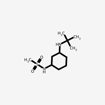 CC(C)(C)NC1CCCC(NS(C)(=O)=O)C1